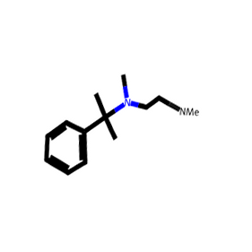 CNCCN(C)C(C)(C)c1ccccc1